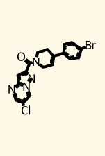 O=C(c1cc2ncc(Cl)cn2n1)N1CC=C(c2ccc(Br)cc2)CC1